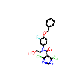 O=C(c1c(Cl)ncnc1Cl)N(CCO)c1ccc(OCc2ccccc2)c(F)c1